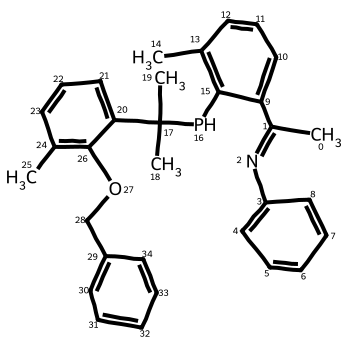 C/C(=N\c1ccccc1)c1cccc(C)c1PC(C)(C)c1cccc(C)c1OCc1ccccc1